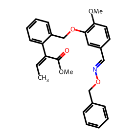 CC=C(C(=O)OC)c1ccccc1COc1cc(C=NOCc2ccccc2)ccc1OC